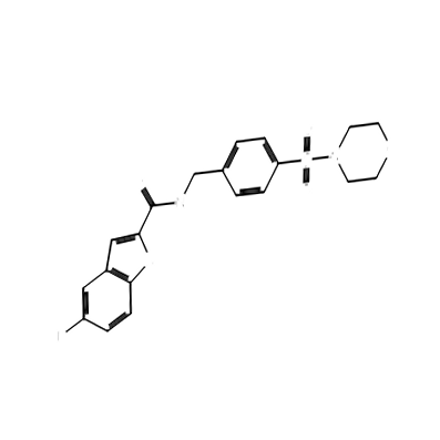 O=C(NCc1ccc(S(=O)(=O)N2CCOCC2)cc1)c1cc2cc(F)ccc2s1